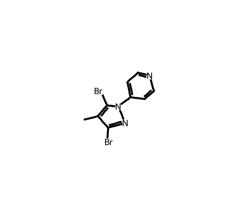 Cc1c(Br)nn(-c2ccncc2)c1Br